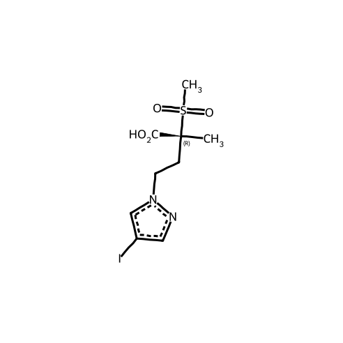 C[C@@](CCn1cc(I)cn1)(C(=O)O)S(C)(=O)=O